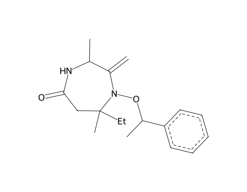 C=C1C(C)NC(=O)CC(C)(CC)N1OC(C)c1ccccc1